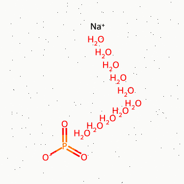 O.O.O.O.O.O.O.O.O.O.O=P(=O)[O-].[Na+]